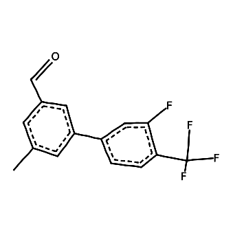 Cc1cc(C=O)cc(-c2ccc(C(F)(F)F)c(F)c2)c1